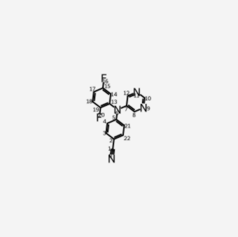 N#Cc1ccc(N(c2cncnc2)c2cc(F)ccc2F)cc1